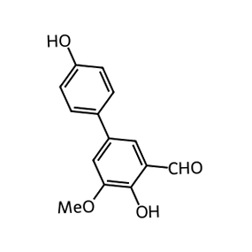 COc1cc(-c2ccc(O)cc2)cc(C=O)c1O